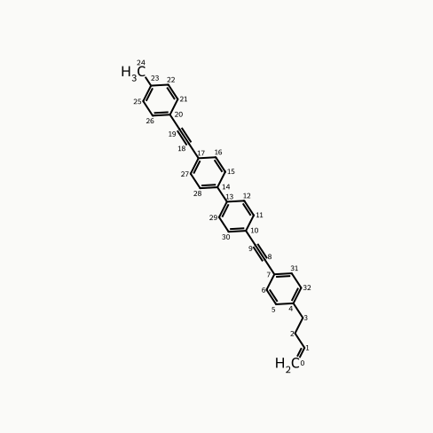 C=CCCc1ccc(C#Cc2ccc(-c3ccc(C#Cc4ccc(C)cc4)cc3)cc2)cc1